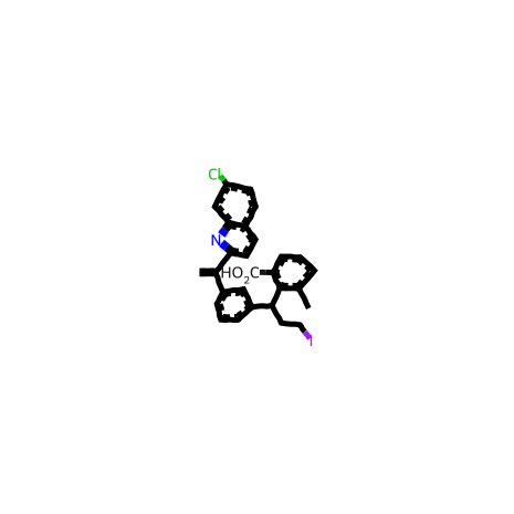 C=C(c1cccc(C(CCI)c2c(C)cccc2C(=O)O)c1)c1ccc2ccc(Cl)cc2n1